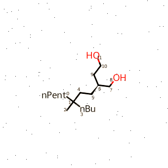 CCCCCC(C)(CCCC)CC[C@H](CO)CCO